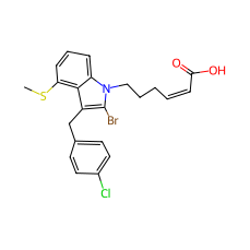 CSc1cccc2c1c(Cc1ccc(Cl)cc1)c(Br)n2CCC/C=C\C(=O)O